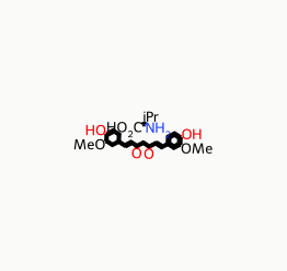 CC(C)C(N)C(=O)O.COc1cc(/C=C/C(=O)CC(=O)/C=C/C2CC=C(O)C(OC)C2)ccc1O